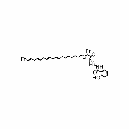 CCC=CCC=CCC=CCC=CCC=CCCCCO[C@H](CC)C(=O)NCCNC(=O)c1ccccc1O